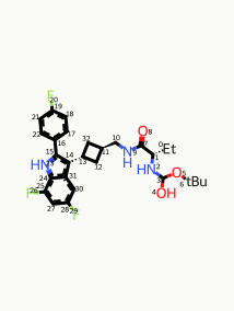 CC[C@H](NC(O)OC(C)(C)C)C(=O)NC[C@H]1C[C@H](c2c(-c3ccc(F)cc3)[nH]c3c(F)cc(F)cc32)C1